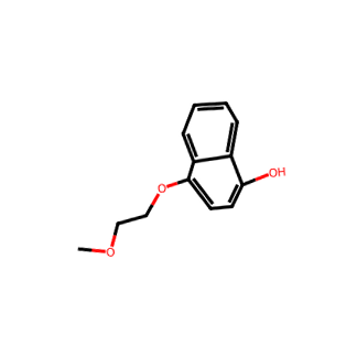 COCCOc1ccc(O)c2ccccc12